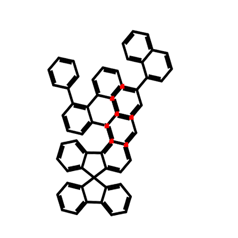 c1ccc(-c2ccccc2-c2c(-c3ccccc3)cccc2N(c2ccc(-c3cccc4ccccc34)cc2)c2cccc3c2-c2ccccc2C32c3ccccc3-c3ccccc32)cc1